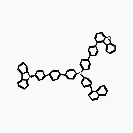 c1ccc2c(-c3ccc(N(c4ccc(-c5ccc(-c6ccc(-n7c8ccccc8c8ccccc87)cc6)cc5)cc4)c4ccc(-c5ccc(-c6cccc7oc8ccccc8c67)cc5)cc4)cc3)cccc2c1